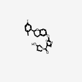 Cc1ccc(F)cc1C1CCc2cc(Oc3ncc(C(=O)N4CCC(O)C4)s3)ccc2O1